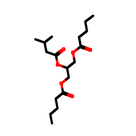 CCCCC(=O)OCC(COC(=O)CCCC)OC(=O)CC(C)C